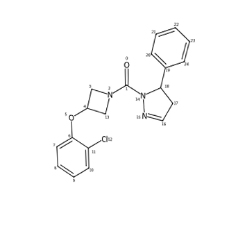 O=C(N1CC(Oc2ccccc2Cl)C1)N1N=CCC1c1ccccc1